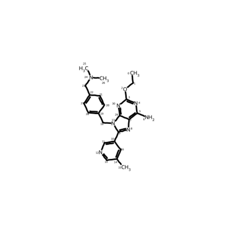 CCOc1nc(N)c2nc(-c3cncc(C)c3)n(Cc3ccc(CN(C)C)cc3)c2n1